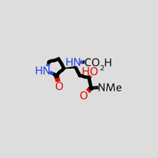 CNC(=O)C(O)CC(NC(=O)O)[C@@H]1CCNC1=O